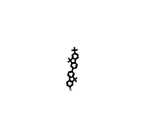 CC(C)(C)c1ccc2c(c1)C(C)(C)c1cc(-c3ccc4c(c3)C(C)(C)c3cc(Br)ccc3-4)ccc1-2